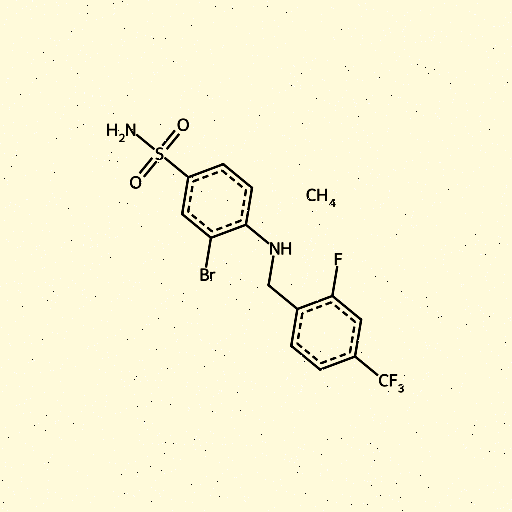 C.NS(=O)(=O)c1ccc(NCc2ccc(C(F)(F)F)cc2F)c(Br)c1